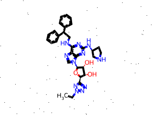 CCn1nnc([C@H]2O[C@@H](n3cnc4c(NCC(c5ccccc5)c5ccccc5)nc(N[C@H]5CCNC5)nc43)[C@H](O)[C@@H]2O)n1